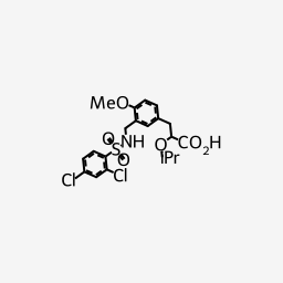 COc1ccc(CC(OC(C)C)C(=O)O)cc1CNS(=O)(=O)c1ccc(Cl)cc1Cl